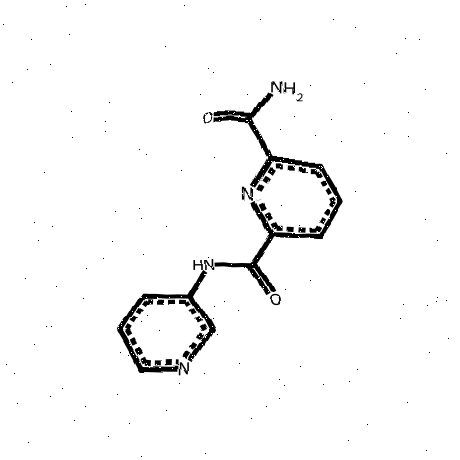 NC(=O)c1cccc(C(=O)Nc2cccnc2)n1